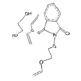 C=COC=C.C=COCCON1C(=O)c2ccccc2C1=O.OCCO